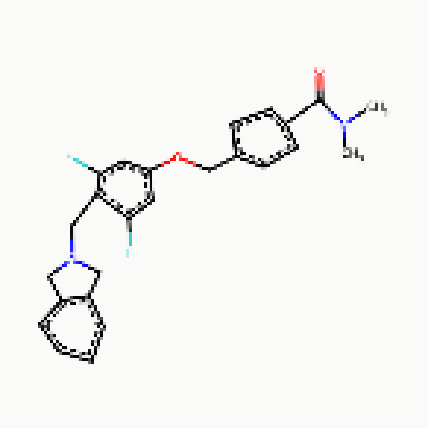 CN(C)C(=O)c1ccc(COc2cc(F)c(CN3Cc4ccccc4C3)c(F)c2)cc1